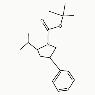 CC(C)C1CC(c2ccccc2)CN1C(=O)OC(C)(C)C